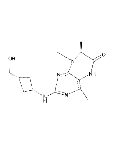 Cc1nc(N[C@H]2C[C@@H](CO)C2)nc2c1NC(=O)[C@H](C)N2C